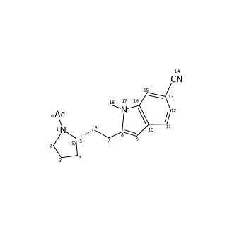 CC(=O)N1CCC[C@H]1CCc1cc2ccc(C#N)cc2n1C